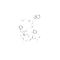 CC[C@H](C)[C@@H]([C@@H](CC(=O)N1CCC[C@H]1[C@H](OC)[C@@H](C)C(=O)N[C@H](C)[C@@H](O)c1ccccc1)OC)N(C)C(=O)[C@@H](NC(=O)[C@H](C(C)C)N(C)C(=O)OCc1ccc(NC(=O)[C@H](CCCNC(N)=O)NC(=O)[C@H](Cc2c[nH]c3ccccc23)NC(=O)CCCC(=O)O)cc1)C(C)C